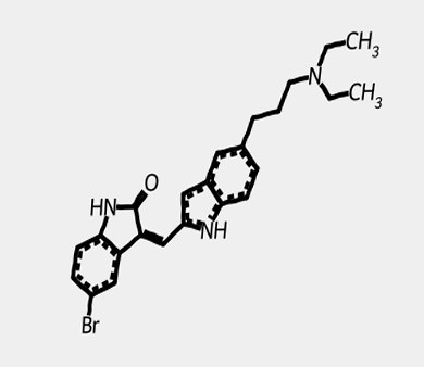 CCN(CC)CCCc1ccc2[nH]c(C=C3C(=O)Nc4ccc(Br)cc43)cc2c1